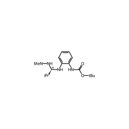 CNN[C@@H](Nc1ccccc1NC(=O)OC(C)(C)C)C(C)C